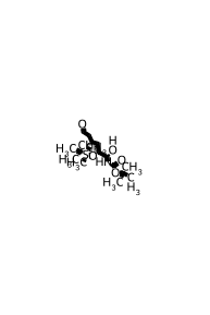 CC(C)(C)OC(=O)N[C@H](O)C(CCCC=O)O[Si](C)(C)C(C)(C)C